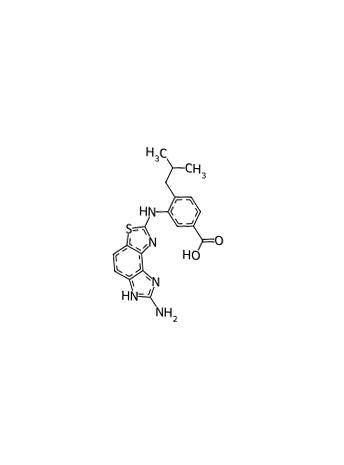 CC(C)Cc1ccc(C(=O)O)cc1Nc1nc2c(ccc3[nH]c(N)nc32)s1